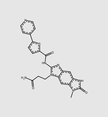 Cn1c(=O)[nH]c2cc3nc(NC(=O)c4ccc(-c5ccncc5)s4)n(CCC(N)=O)c3cc21